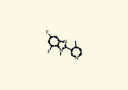 Cc1ccncc1-c1nc2cc(F)cc(F)c2n1C